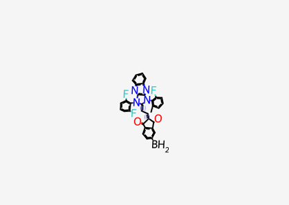 Bc1ccc2c(c1)C(=O)/C(=C/C=C1\N(c3c(C)cccc3F)c3nc4ccccc4nc3N1c1c(F)cccc1F)C2=O